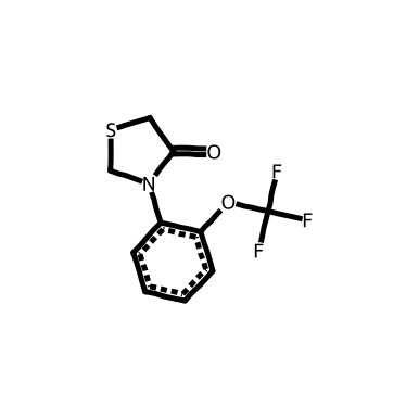 O=C1CSCN1c1ccccc1OC(F)(F)F